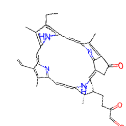 C=CC1=C(C)c2cc3[nH]c(c4c5nc(cc6[nH]c(cc1n2)c(C)c6CC)C(C)=C5C(=O)C4)C(CCC(=O)C=O)[C@@H]3C